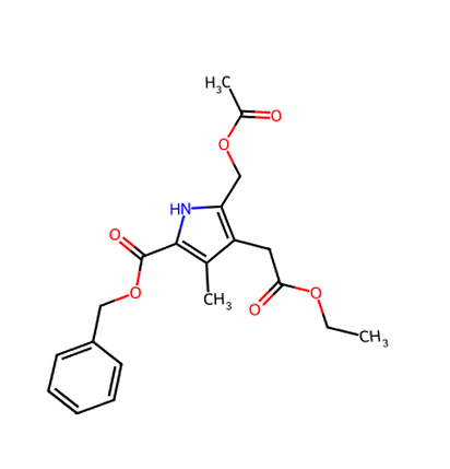 CCOC(=O)Cc1c(COC(C)=O)[nH]c(C(=O)OCc2ccccc2)c1C